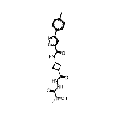 Cc1ccc(-c2cc(C(=O)N[C@H]3C[C@H](C(=O)NNC(=O)[C@@H](C)O)C3)on2)cc1